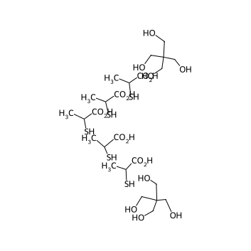 CC(S)C(=O)O.CC(S)C(=O)O.CC(S)C(=O)O.CC(S)C(=O)O.CC(S)C(=O)O.OCC(CO)(CO)CO.OCC(CO)(CO)CO